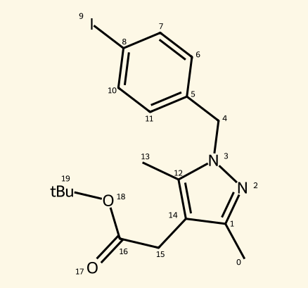 Cc1nn(Cc2ccc(I)cc2)c(C)c1CC(=O)OC(C)(C)C